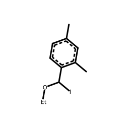 CCOC(I)c1ccc(C)cc1C